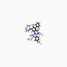 C[C@@H](Nc1nn(C)c(=O)c2c(-c3cccnc3)c(=O)n(N3CCOCC3)cc12)c1cccc(C(F)(F)F)c1F